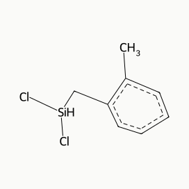 Cc1ccccc1C[SiH](Cl)Cl